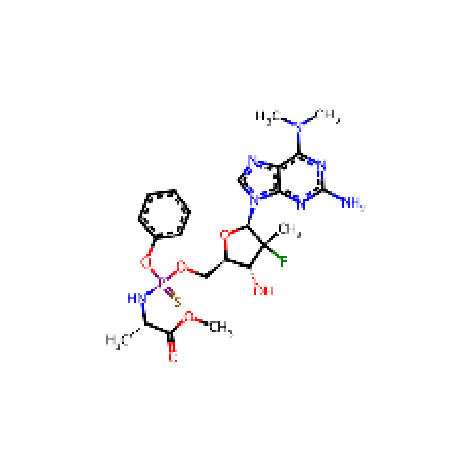 COC(=O)[C@H](C)N[P@](=S)(OC[C@H]1O[C@@H](n2cnc3c(N(C)C)nc(N)nc32)[C@](C)(F)[C@@H]1O)Oc1ccccc1